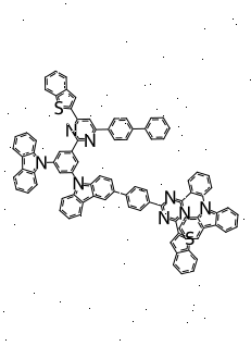 c1ccc(-c2ccc(-c3cc(-c4cc5ccccc5s4)nc(-c4cc(-n5c6ccccc6c6ccccc65)cc(-n5c6ccccc6c6cc(-c7ccc(-c8nc(-c9cc%10ccccc%10s9)nc(-c9ccccc9-n9c%10ccccc%10c%10ccccc%109)n8)cc7)ccc65)c4)n3)cc2)cc1